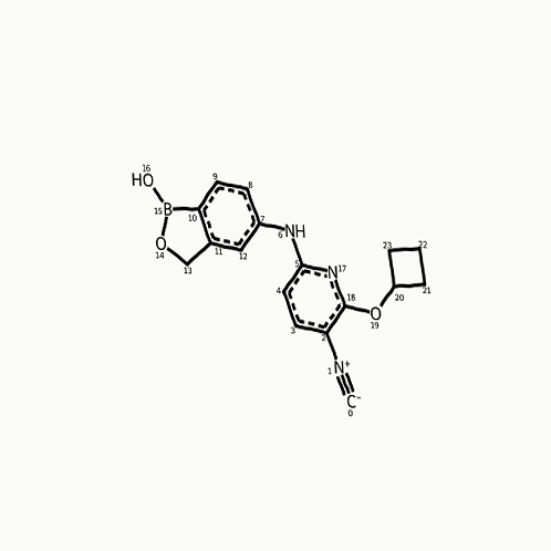 [C-]#[N+]c1ccc(Nc2ccc3c(c2)COB3O)nc1OC1CCC1